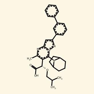 Cc1nc2cc(-c3cccc(-c4ccccc4)c3)nn2c(N2C3CCCC2CC3)c1[C@H](OCC(C)C)C(=O)O